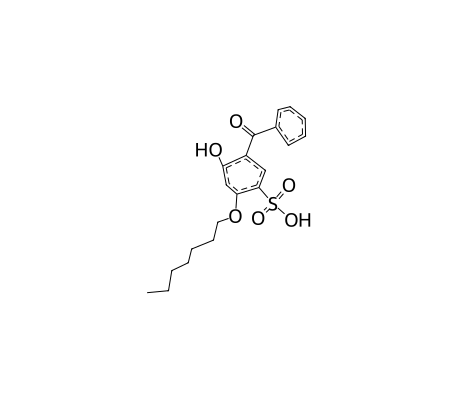 CCCCCCCOc1cc(O)c(C(=O)c2ccccc2)cc1S(=O)(=O)O